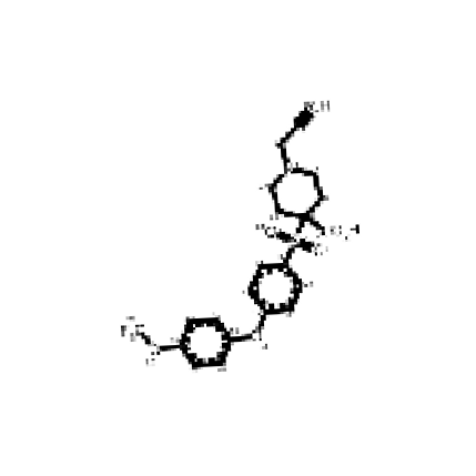 C#CCN1CCC(C(=O)O)(S(=O)(=O)c2ccc(Oc3ccc(OC(F)(F)F)cc3)cc2)CC1